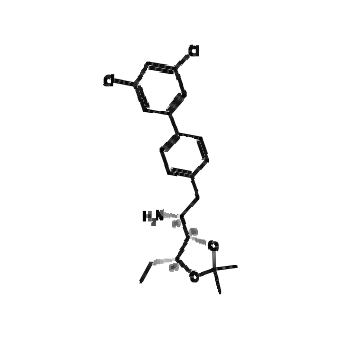 CC[C@H]1OC(C)(C)O[C@H]1[C@H](N)Cc1ccc(-c2cc(Cl)cc(Cl)c2)cc1